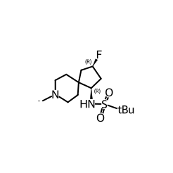 [CH2]N1CCC2(CC1)C[C@@H](F)C[C@H]2NS(=O)(=O)C(C)(C)C